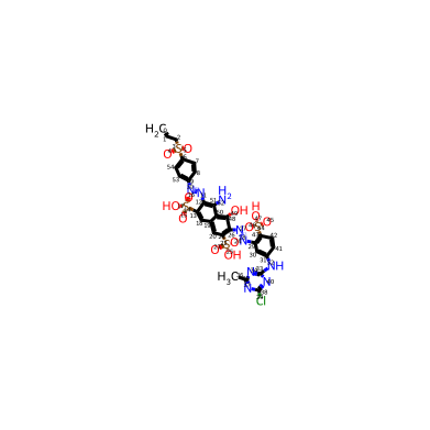 C=CCS(=O)(=O)c1ccc(/N=N/c2c(S(=O)(=O)O)cc3cc(S(=O)(=O)O)c(/N=N/c4cc(Nc5nc(C)nc(Cl)n5)ccc4S(=O)(=O)O)c(O)c3c2N)cc1